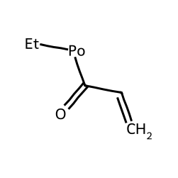 C=C[C](=O)[Po][CH2]C